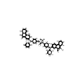 Cc1c(C)c2cc(N(c3ccccc3)c3ccc(N4CCN(c5ccc(N(c6ccccc6)c6ccc7c(c6)c(C)c(C)c6ccccc67)cc5)C4=O)cc3)ccc2c2ccccc12